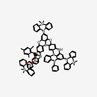 Cc1cc(C)c(N2c3cc4c(cc3B3c5ccccc5N(c5ccccc5)c5cc(N6c7ccccc7[Si](C)(C)c7ccccc76)cc2c53)B2c3cc5c(cc3Oc3cc(N6c7ccccc7[Si](C)(C)c7ccccc76)cc(c32)O4)Nc2cc(N3c4ccccc4[Si](C)(C)c4ccccc43)cc3c2B5c2ccccc2N3c2ccccc2)c(C)c1